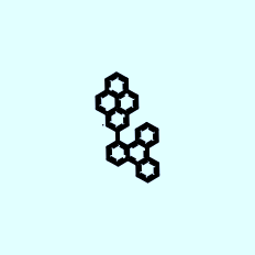 [c]1c(-c2cccc3c4ccccc4c4ccccc4c23)cc2ccc3cccc4ccc1c2c43